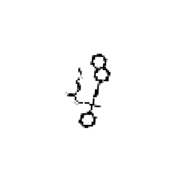 CC(C)(C#Cc1ccc2ccccc2c1)c1ccccc1.COC=CC(=O)O